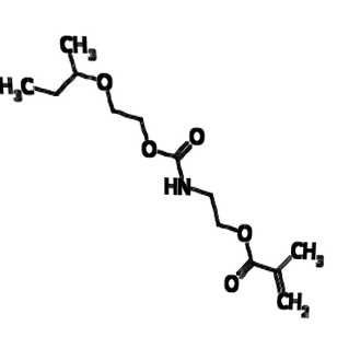 C=C(C)C(=O)OCCNC(=O)OCCOC(C)CC